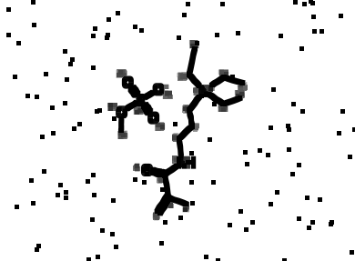 C=C(C)C(=O)NCCC[N+](CC)(CC)CC.COS(=O)(=O)[O-]